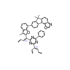 C=C/C=C(/c1nc(/C(C=C)=C/C=C)nc(-c2ccccc2)n1)c1oc2c(-c3ccc4c(c3)C(C)(C)c3ccc5ncoc5c3-4)cccc2c1C